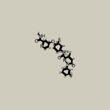 CNC(=O)c1cc(Oc2ccc(NC(=O)c3nn(-c4cccc(F)c4)c(=O)cc3C)cc2F)ccn1